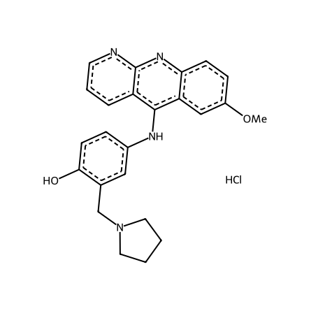 COc1ccc2nc3ncccc3c(Nc3ccc(O)c(CN4CCCC4)c3)c2c1.Cl